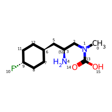 CN(C[C@@H](N)C[C@H]1CC[C@H](F)CC1)C(=O)O